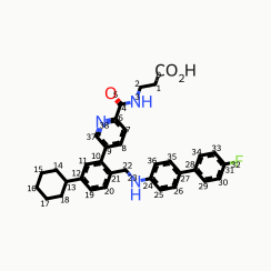 O=C(O)CCNC(=O)c1ccc(-c2cc(C3CCCCC3)ccc2CNc2ccc(-c3ccc(F)cc3)cc2)cn1